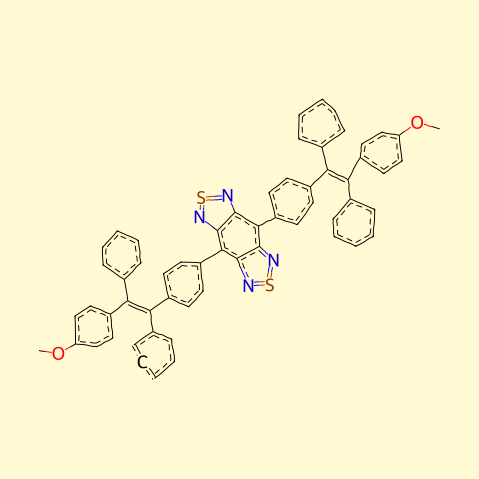 COc1ccc(/C(=C(\c2ccccc2)c2ccc(-c3c4c(c(-c5ccc(/C(=C(\c6ccccc6)c6ccc(OC)cc6)c6ccccc6)cc5)c5nsnc35)N=S=N4)cc2)c2ccccc2)cc1